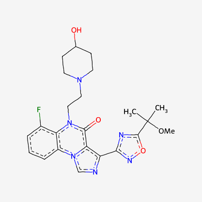 COC(C)(C)c1nc(-c2ncn3c2c(=O)n(CCN2CCC(O)CC2)c2c(F)cccc23)no1